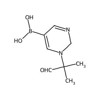 CC(C)(C=O)N1C=C(B(O)O)C=NC1